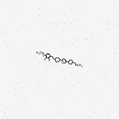 CCCC1CCC(C2=CCC(C3CCC(CCc4ccc(OCC)c(F)c4F)CC3)OC2)CC1